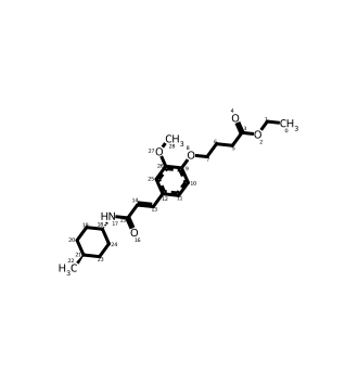 CCOC(=O)CCCOc1ccc(C=CC(=O)N[C@H]2CC[C@H](C)CC2)cc1OC